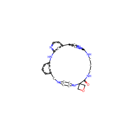 O=C1NCCCNc2ncc(cn2)-c2ccnc(c2)Nc2cccc(c2)CN2CCN(CC2)C12COC2